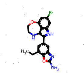 CCc1cc(-c2[nH]c3cc(Br)cc4c3c2NCCO4)cc2nc(N)oc12